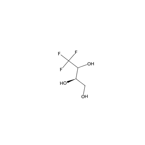 OC[C@@H](O)C(O)C(F)(F)F